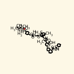 Cc1c(-c2ccc(N3CCc4cccc(C(=O)Nc5nc6ccccc6s5)c4C3)nc2C(=O)O)cnn1CC12CC3(C)CC(C)(C1)CC(OCCNC(=O)OCc1ccc(NC(=O)[C@H](C)NC(=O)[C@@H](N)C(C)C)cc1)(C3)C2